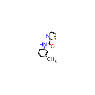 Cc1cccc(NC(=O)c2nccs2)c1